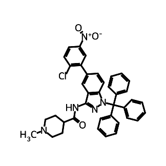 CN1CCC(C(=O)Nc2nn(C(c3ccccc3)(c3ccccc3)c3ccccc3)c3ccc(-c4cc([N+](=O)[O-])ccc4Cl)cc23)CC1